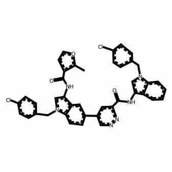 Cc1occc1C(=O)Nc1cn(Cc2ccc(Cl)cc2)c2ccc(-c3cnnc(C(=O)Nc4cn(Cc5ccc(Cl)cc5)c5ccccc45)c3)cc12